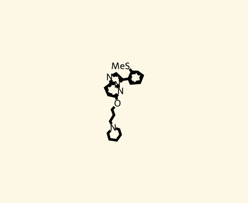 CSc1ccccc1-c1cnc2ccc(OCCCN3CCCCC3)nn12